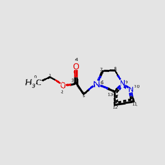 CCOC(=O)CN1CCn2nccc21